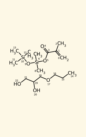 C=C(C)C(=O)O[Si](C)(C)O[Si](C)(C)C.CCCOCC(O)CO